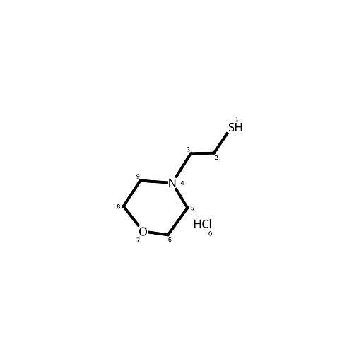 Cl.SCCN1CCOCC1